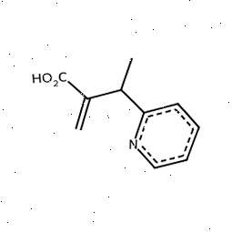 C=C(C(=O)O)C(C)c1ccccn1